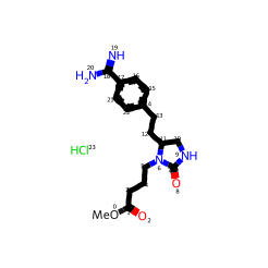 COC(=O)CCCN1C(=O)NCC1CCc1ccc(C(=N)N)cc1.Cl